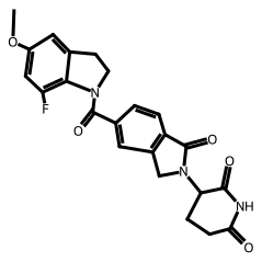 COc1cc(F)c2c(c1)CCN2C(=O)c1ccc2c(c1)CN(C1CCC(=O)NC1=O)C2=O